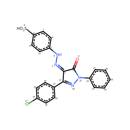 O=C1C(=NNc2ccc(S(=O)(=O)O)cc2)C(c2ccc(Cl)cc2)=NN1c1ccccc1